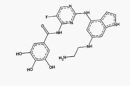 NCCNc1cc(Nc2ncc(F)c(NC(=O)c3cc(O)c(O)c(O)c3)n2)c2cc[nH]c2c1